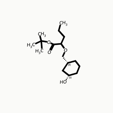 CCCC(OC[C@@H]1CCC[C@H](O)C1)C(=O)OC(C)(C)C